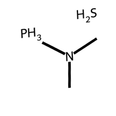 CN(C)C.P.S